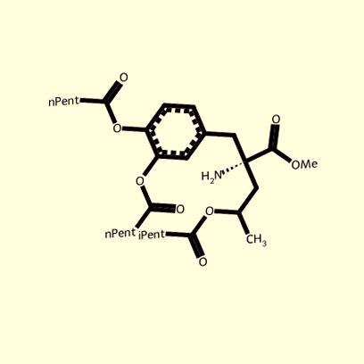 CCCCCC(=O)Oc1ccc(C[C@](N)(CC(C)OC(=O)C(C)CCC)C(=O)OC)cc1OC(=O)CCCCC